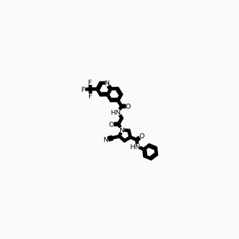 N#CC1CC(C(=O)Nc2ccccc2)CN1C(=O)CNC(=O)c1ccc2ncc(C(F)(F)F)cc2c1